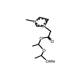 COC(C)OC(C)OC(=O)Cn1cc[n+](C)c1